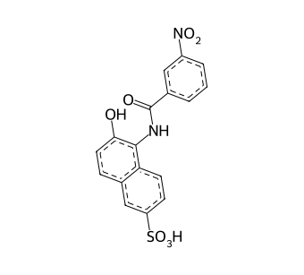 O=C(Nc1c(O)ccc2cc(S(=O)(=O)O)ccc12)c1cccc([N+](=O)[O-])c1